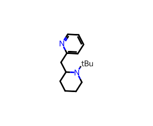 CC(C)(C)N1CCCCC1Cc1ccccn1